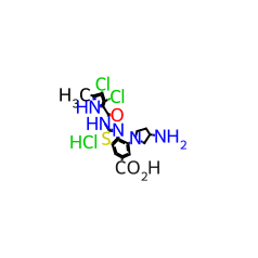 Cc1[nH]c(C(=O)Nc2nc3c(N4CCC(N)C4)cc(C(=O)O)cc3s2)c(Cl)c1Cl.Cl